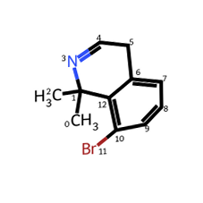 CC1(C)N=CCc2cccc(Br)c21